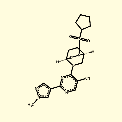 Cn1cc(-c2ncc(C#N)c(N3C[C@@H]4CC[C@H]3CN4S(=O)(=O)C3CCCC3)n2)cn1